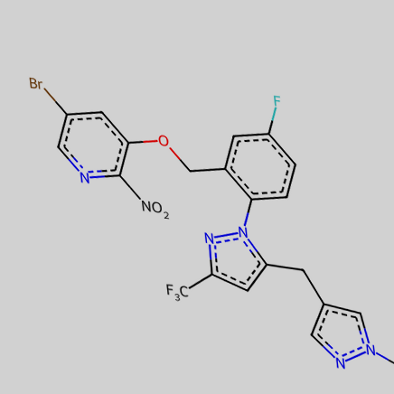 CCn1cc(Cc2cc(C(F)(F)F)nn2-c2ccc(F)cc2COc2cc(Br)cnc2[N+](=O)[O-])cn1